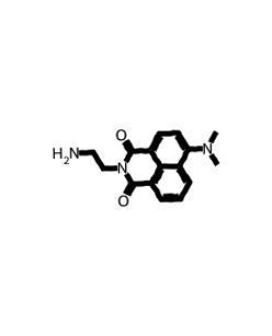 CN(C)c1ccc2c3c(cccc13)C(=O)N(CCN)C2=O